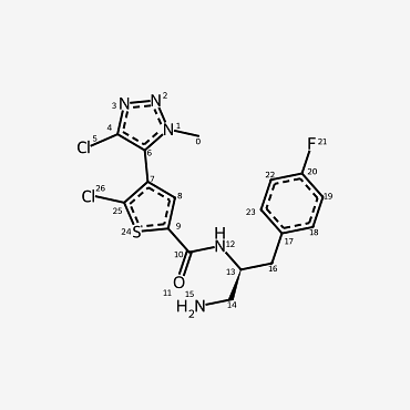 Cn1nnc(Cl)c1-c1cc(C(=O)N[C@H](CN)Cc2ccc(F)cc2)sc1Cl